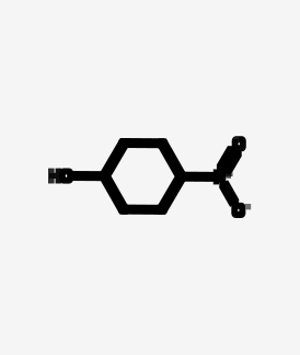 O=[N+]([O-])C1CCC(O)CC1